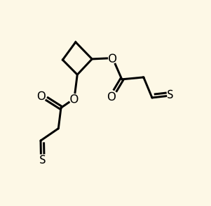 O=C(CC=S)OC1CCC1OC(=O)CC=S